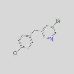 Clc1ccc(Cc2cncc(Br)c2)cc1